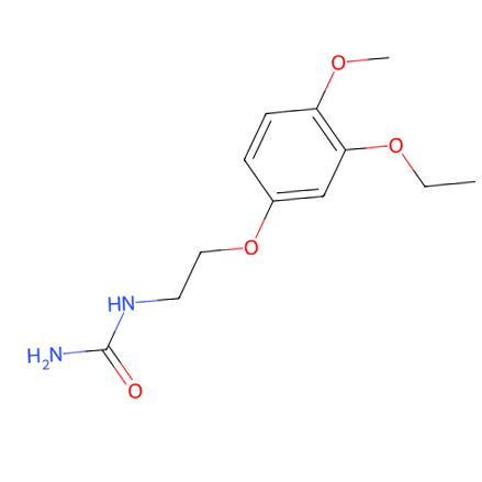 CCOc1cc(OCCNC(N)=O)ccc1OC